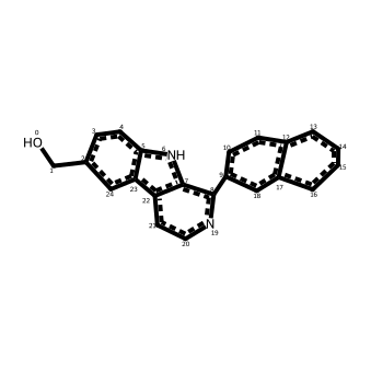 OCc1ccc2[nH]c3c(-c4ccc5ccccc5c4)nccc3c2c1